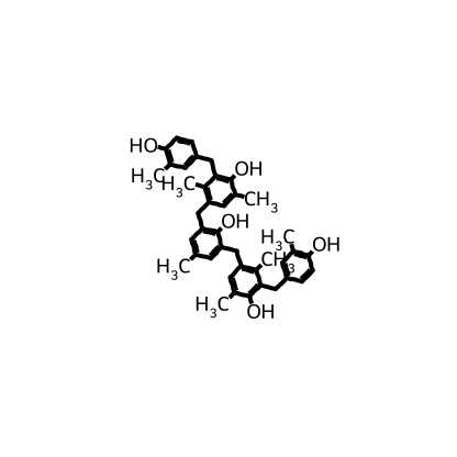 Cc1cc(Cc2cc(C)c(O)c(Cc3ccc(O)c(C)c3)c2C)c(O)c(Cc2cc(C)c(O)c(Cc3ccc(O)c(C)c3)c2C)c1